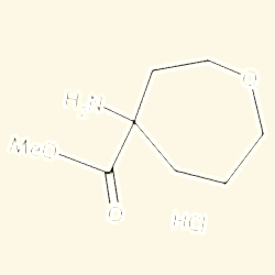 COC(=O)C1(N)CCCOCC1.Cl